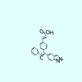 CC/C(=C(/c1ccc(/C=C/C(=O)O)cc1)c1ccc2nn(C)cc2c1)c1ccccc1